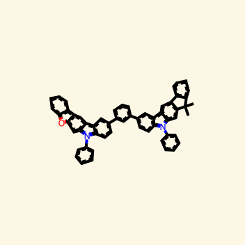 CC1(C)c2ccccc2-c2cc3c4cc(-c5cccc(-c6ccc7c(c6)c6cc8c(cc6n7-c6ccccc6)oc6ccccc68)c5)ccc4n(-c4ccccc4)c3cc21